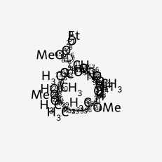 CCOCCOC1CC[C@@H](CC(C)[C@@H]2CC(=O)[C@H](C)/C=C(\C)[C@@H](O)C(OC)C(=O)C(C)CC(C)/C=C/C=C/C=C(\C)[C@@H](OC)C[C@@H]3CC[C@@H](C)[C@@](O)(O3)C(=O)C(=O)N3CCCCC3C(=O)O2)C[C@H]1OC